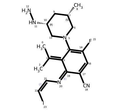 CC(C)=C1C(N2C[C@@H](C)C[C@@H](NN)C2)=C(F)C=C(C#N)/C1=N/C=C\I